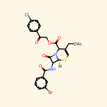 CC(=O)OCC1=CS[C@H]2C(NC(=O)c3cccc(Br)c3)C(=O)N2C1C(=O)OCC(=O)c1ccc(Cl)cc1